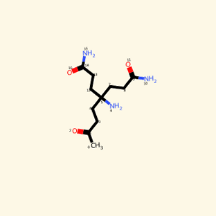 CC(=O)CCC(N)(CCC(N)=O)CCC(N)=O